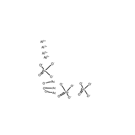 CC(=O)[O-].CC(=O)[O-].CC(=O)[O-].O=[As]([O-])([O-])[O-].O=[As]([O-])([O-])[O-].O=[As]([O-])([O-])[O-].[Al+3].[Al+3].[Al+3].[Al+3]